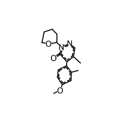 COc1ccc(-c2c(C)cnn(C3CCCCO3)c2=O)c(C)c1